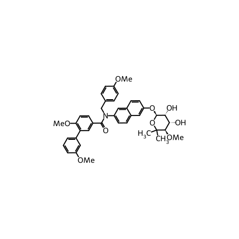 COc1ccc(CN(C(=O)c2ccc(OC)c(-c3cccc(OC)c3)c2)c2ccc3cc(O[C@@H]4OC(C)(C)[C@H](OC)[C@@H](O)[C@H]4O)ccc3c2)cc1